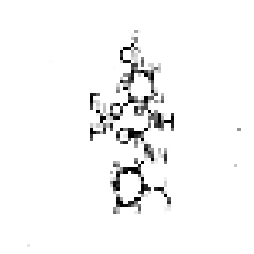 CCc1ccccc1NC(=O)Nc1ccc(OC)nc1OC(F)F